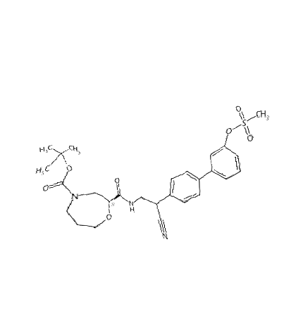 CC(C)(C)OC(=O)N1CCCO[C@H](C(=O)NCC(C#N)c2ccc(-c3cccc(OS(C)(=O)=O)c3)cc2)C1